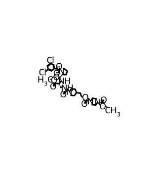 CCOC(=O)N1CCN(C(=O)OCCC2CCN(C(=O)NC[C@H](NC(=O)[C@@H]3CCCN3S(=O)(=O)c3cc(Cl)cc(Cl)c3)C(=O)OC)CC2)CC1